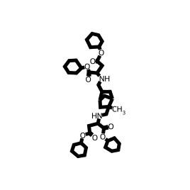 CC1(CNC(CC(=O)OC2CCCCC2)C(=O)OC2CCCCC2)CC2CC1CC2CNC(CC(=O)OC1CCCCC1)C(=O)OC1CCCCC1